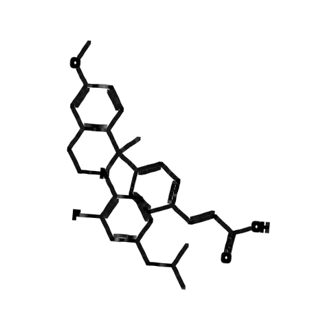 COc1ccc2c(c1)CCN(c1ccc(CC(C)C)cc1F)C2(C)c1ccc(C=CC(=O)O)cc1